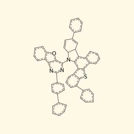 C1=CC2C(C=C1c1ccccc1)c1c(c3c4cccc(-c5ccccc5)c4sc3c3ccccc13)N2c1nc(-c2ccc(-c3ccccc3)cc2)nc2c1oc1ccccc12